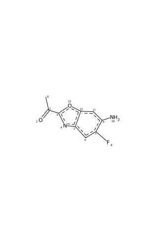 CC(=O)c1nc2cc(F)c(N)cc2o1